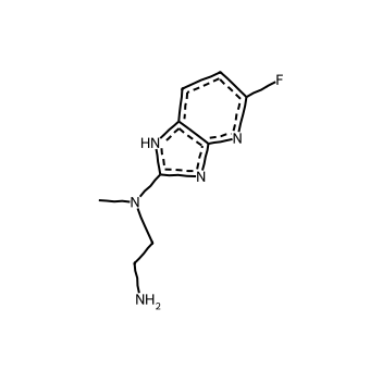 CN(CCN)c1nc2nc(F)ccc2[nH]1